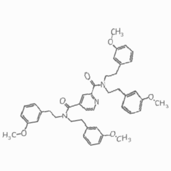 COc1cccc(CCN(CCc2cccc(OC)c2)C(=O)c2ccnc(C(=O)N(CCc3cccc(OC)c3)CCc3cccc(OC)c3)c2)c1